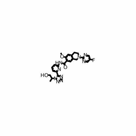 COc1cc2c(cc1C(=O)Nc1cccc(-c3nnnn3C(C)CO)n1)CN(c1ncc(F)cn1)CC2